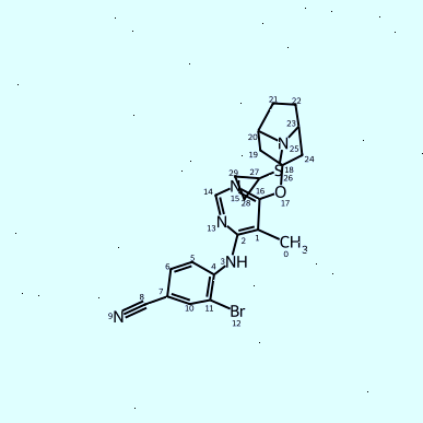 Cc1c(Nc2ccc(C#N)cc2Br)ncnc1OC1CC2CCC(C1)N2SC1CC1